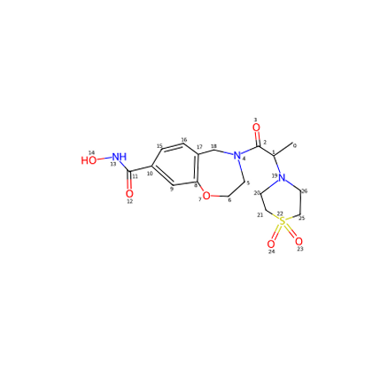 CC(C(=O)N1CCOc2cc(C(=O)NO)ccc2C1)N1CCS(=O)(=O)CC1